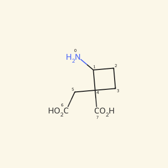 NC1CCC1(CC(=O)O)C(=O)O